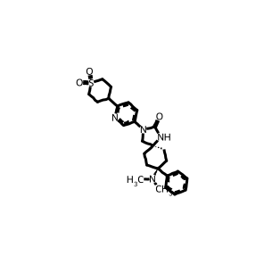 CN(C)[C@]1(c2ccccc2)CC[C@]2(CC1)CN(c1ccc(C3CCS(=O)(=O)CC3)nc1)C(=O)N2